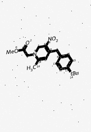 COC(=O)CN1CC([N+](=O)[O-])=C(Cc2ccc(C(C)(C)C)cc2)C=C1C